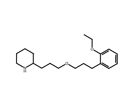 CCOc1ccccc1CCCOCCCC1[CH]CCCN1